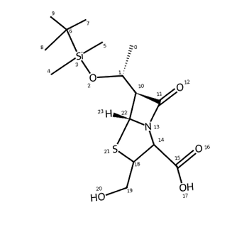 C[C@@H](O[Si](C)(C)C(C)(C)C)[C@H]1C(=O)N2C(C(=O)O)C(CO)S[C@H]12